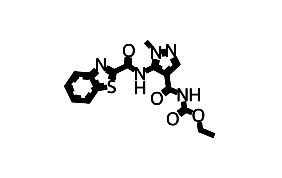 CCOC(=O)NC(=O)c1cnn(C)c1NC(=O)c1nc2ccccc2s1